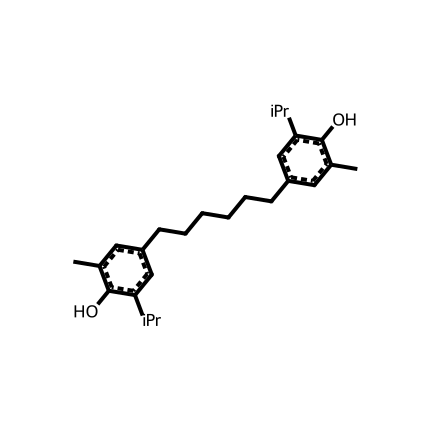 Cc1cc(CCCCCCc2cc(C)c(O)c(C(C)C)c2)cc(C(C)C)c1O